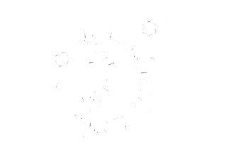 CCO[C@@H]1C[C@H]2C(=O)NC3(CC(C)(C)C3)C(=O)N(C)[C@@H](C3CCCC3)C(=O)N(C)[C@H](C(=O)N3CCCC3)CC(=O)N(C)[C@H]3CCC/C=C/c4ccc(cc4)C[C@@H](C(=O)N(C)CC(=O)N[C@@H](CCc4cc(F)c(C(F)(F)F)c(F)c4)C(=O)N2C1)N1CC/C=C\C[C@@H](C1=O)N(C)C(=O)CN(C1CC1)C(=O)[C@H]([C@@H](C)CC)NC3=O